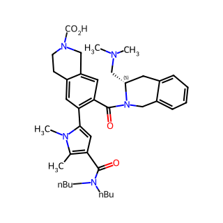 CCCCN(CCCC)C(=O)c1cc(-c2cc3c(cc2C(=O)N2Cc4ccccc4C[C@H]2CN(C)C)CN(C(=O)O)CC3)n(C)c1C